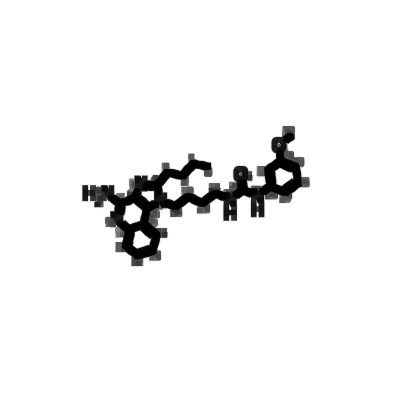 CCCCc1nc2c(N)nc3ccccc3c2n1CCCCNC(=O)Nc1cccc(OC)c1